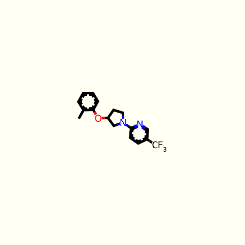 Cc1ccccc1OC1CCN(c2ccc(C(F)(F)F)cn2)C1